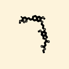 CCOC(=O)CCC(=O)N1Cc2cc(OC)c(OCCCOc3cc4c(cc3OC)CCC(CCC(=O)C[C@H](C)C(=O)OC)C4)cc2C1